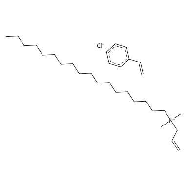 C=CC[N+](C)(C)CCCCCCCCCCCCCCCCCC.C=Cc1ccccc1.[Cl-]